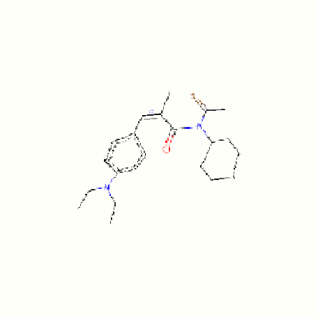 CCN(CC)c1ccc(/C=C(/C)C(=O)N(C(C)=S)C2CCCCC2)cc1